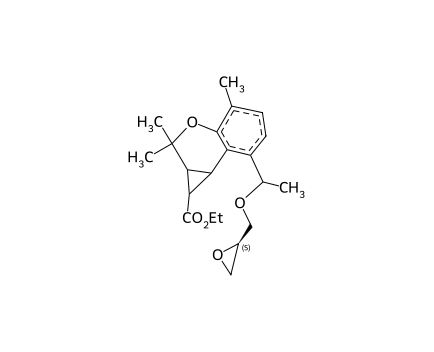 CCOC(=O)C1C2c3c(C(C)OC[C@H]4CO4)ccc(C)c3OC(C)(C)C12